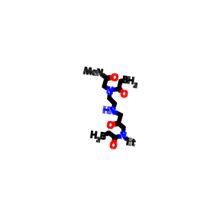 BCC(=O)N(CC)CC(=O)CNCCN(CC(=O)NC)C(=O)CB